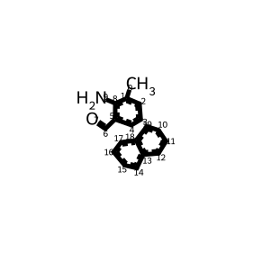 Cc1cccc(C=O)c1N.c1ccc2ccccc2c1